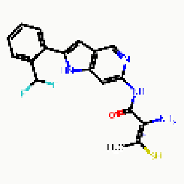 C/C(S)=C(/N)C(=O)Nc1cc2[nH]c(-c3ccccc3C(F)F)cc2cn1